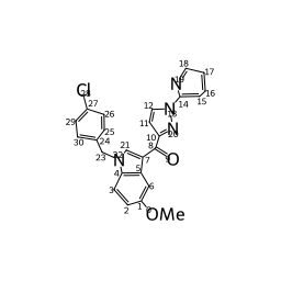 COc1ccc2c(c1)c(C(=O)c1ccn(-c3ccccn3)n1)cn2Cc1ccc(Cl)cc1